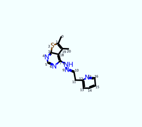 Cc1sc2ncnc(NN=CCc3ccccn3)c2c1C